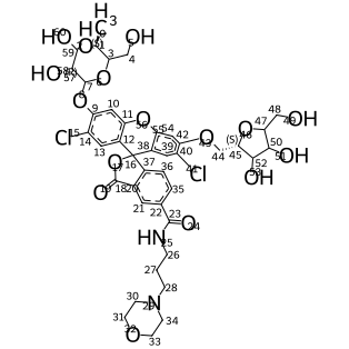 C[C@H](O)C(CO)OC(Oc1cc2c(cc1Cl)C1(OC(=O)c3cc(C(=O)NCCCN4CCOCC4)ccc31)c1cc(Cl)c(OC[C@@H]3OC(CO)C(O)C3O)cc1O2)[C@H](O)CO